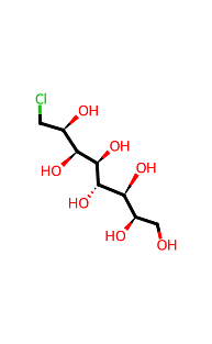 OC[C@@H](O)[C@H](O)[C@H](O)[C@H](O)[C@@H](O)[C@H](O)CCl